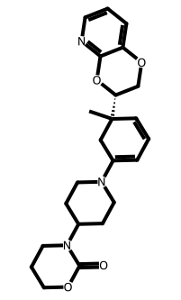 CC1([C@H]2COc3cccnc3O2)C=CC=C(N2CCC(N3CCCOC3=O)CC2)C1